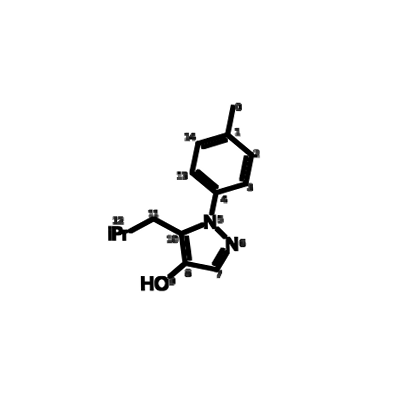 Cc1ccc(-n2ncc(O)c2CC(C)C)cc1